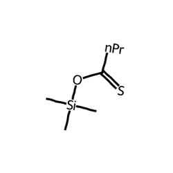 CCCC(=S)O[Si](C)(C)C